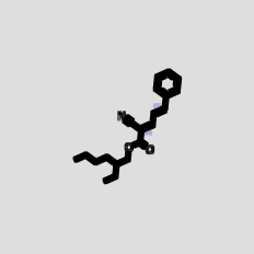 CCCCC(CC)COC(=O)/C(C#N)=C/C=C/c1ccccc1